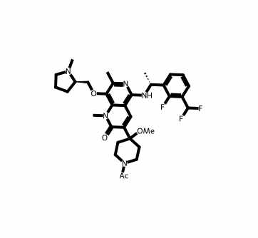 COC1(c2cc3c(N[C@H](C)c4cccc(C(F)F)c4F)nc(C)c(OC[C@H]4CCCN4C)c3n(C)c2=O)CCN(C(C)=O)CC1